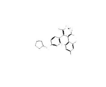 Cc1nnc(Cl)c(-c2c(F)cc(F)cc2F)c1-c1ccc(OC2CCCC2)cc1